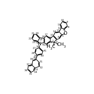 CC1(C)c2cc3oc4ccccc4c3cc2-c2cc3c4ccccc4n(-c4ccc(-c5ccc6ccccc6c5)cc4)c3cc21